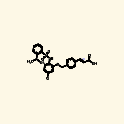 CC(C)c1ccccc1S(=O)(=O)Nc1ccc(Cl)cc1OCc1ccc(/C=C/C(=O)O)cc1